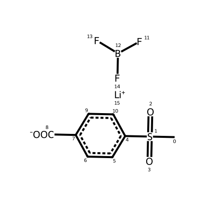 CS(=O)(=O)c1ccc(C(=O)[O-])cc1.FB(F)F.[Li+]